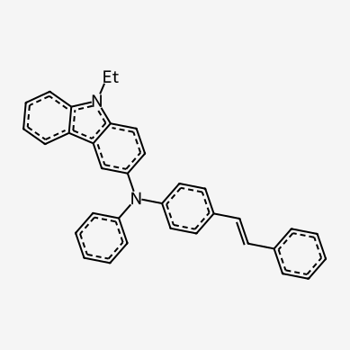 CCn1c2ccccc2c2cc(N(c3ccccc3)c3ccc(/C=C/c4ccccc4)cc3)ccc21